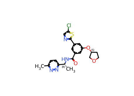 Cc1ccc([C@@H](C)NC(=O)c2cc(O[C@H]3CCOC3)cc(-c3ncc(Cl)s3)c2)nn1